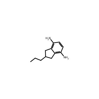 CCCC1Cc2c(N)ccc(N)c2C1